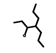 CCCC(CCC)C([O])CC